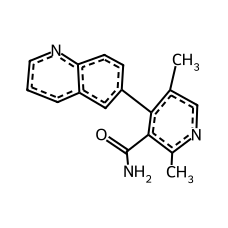 Cc1cnc(C)c(C(N)=O)c1-c1ccc2ncccc2c1